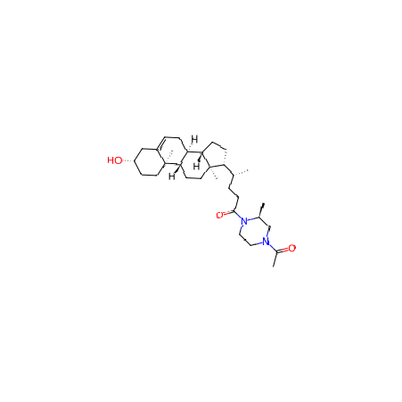 CC(=O)N1CCN(C(=O)CC[C@@H](C)[C@H]2CC[C@H]3[C@@H]4CC=C5C[C@@H](O)CC[C@]5(C)[C@H]4CC[C@]23C)[C@@H](C)C1